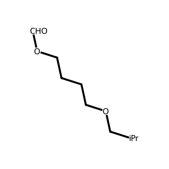 CC(C)COCCCCOC=O